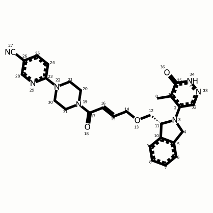 Cc1c(N2Cc3ccccc3[C@@H]2COC/C=C/C(=O)N2CCN(c3ccc(C#N)cn3)CC2)cn[nH]c1=O